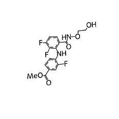 COC(=O)c1ccc(Nc2c(C(=O)NOCCO)ccc(F)c2F)c(F)c1